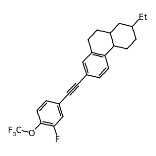 CCC1CCC2c3ccc(C#Cc4ccc(OC(F)(F)F)c(F)c4)cc3CCC2C1